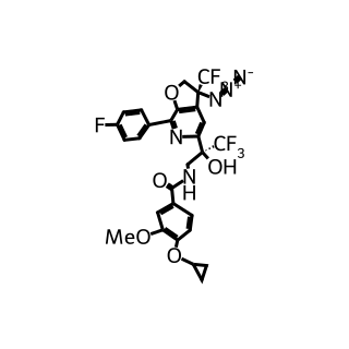 COc1cc(C(=O)NC[C@](O)(c2cc3c(c(-c4ccc(F)cc4)n2)OC[C@@]3(N=[N+]=[N-])C(F)(F)F)C(F)(F)F)ccc1OC1CC1